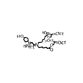 CCCCCCCCC(CCCCCCCC)COC(=O)CCCCCN(CCCCCC(=O)OCC(CCCCCCCC)CCCCCCCC)CCN(CCCCC)C1CCC(O)CC1